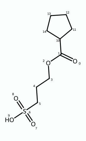 O=C(OCCCS(=O)(=O)O)C1CCCC1